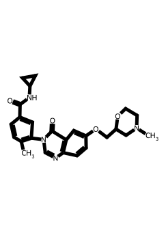 Cc1ccc(C(=O)NC2CC2)cc1-n1cnc2ccc(OCC3CN(C)CCO3)cc2c1=O